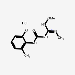 C/N=C(/NOC)NC(=O)Nc1c(C)cccc1Cl.Cl